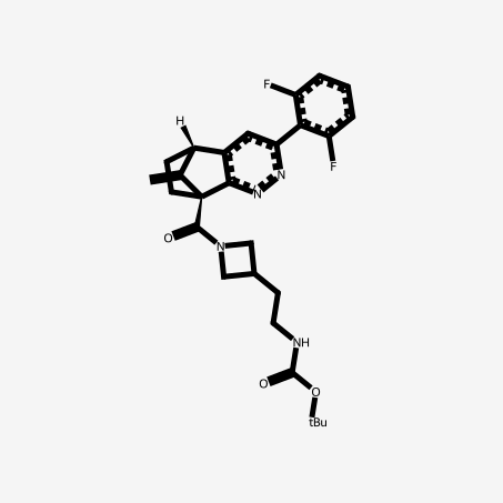 C=C1[C@@H]2CC[C@@]1(C(=O)N1CC(CCNC(=O)OC(C)(C)C)C1)c1nnc(-c3c(F)cccc3F)cc12